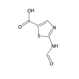 O=CNc1ncc(C(=O)O)s1